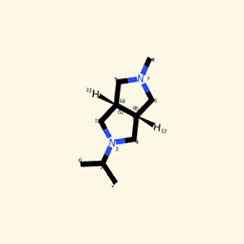 CC(C)N1C[C@H]2CN(C)C[C@H]2C1